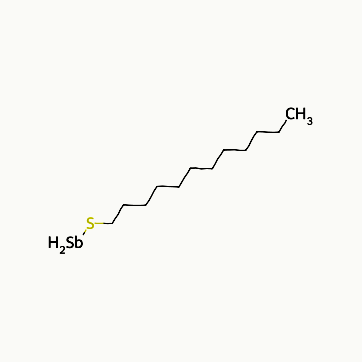 CCCCCCCCCCCC[S][SbH2]